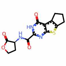 O=C(N[C@H]1CCOC1=O)c1nc2sc3c(c2c(=O)[nH]1)CCC3